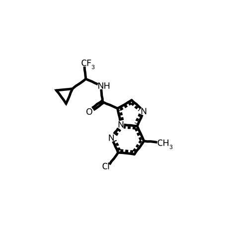 Cc1cc(Cl)nn2c(C(=O)NC(C3CC3)C(F)(F)F)cnc12